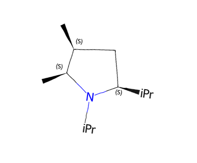 CC(C)[C@@H]1C[C@H](C)[C@H](C)N1C(C)C